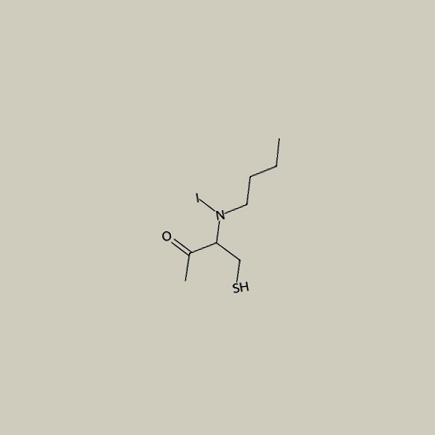 CCCCN(I)C(CS)C(C)=O